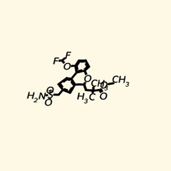 CCOC(=O)C(C)(C)CC1Oc2cccc(OC(F)F)c2-c2ccc(CS(N)(=O)=O)cc21